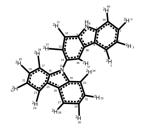 [2H]c1c([2H])c([2H])c2c([nH]c3c([2H])c([2H])c(-n4c5c([2H])c([2H])c([2H])c([2H])c5c5c([2H])c([2H])c([2H])c([2H])c54)c([2H])c32)c1[2H]